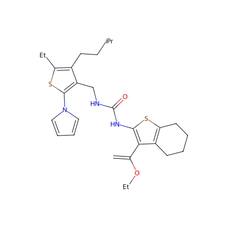 C=C(OCC)c1c(NC(=O)NCc2c(-n3cccc3)sc(CC)c2CCC(C)C)sc2c1CCCC2